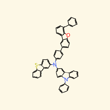 c1ccc(-c2cccc3c2oc2ccc(-c4ccc(N(c5ccc6sc7ccccc7c6c5)c5ccc6c(c5)c5ccccc5n6-c5ccccc5)cc4)cc23)cc1